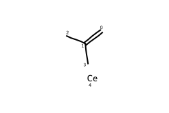 C=C(C)C.[Ce]